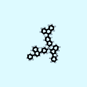 c1ccc(-c2ccc(-c3ccc(N(c4ccc5cc(-c6cc7ccccc7c7ccccc67)ccc5c4)c4cc5c6ccccc6sc5c5ccccc45)cc3)c3ccccc23)cc1